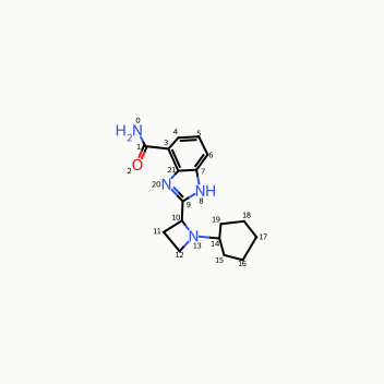 NC(=O)c1cccc2[nH]c(C3CCN3C3CCCCC3)nc12